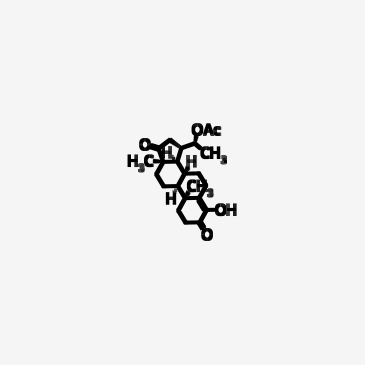 CC(=O)O[C@@H](C)[C@@H]1CC(=O)[C@@]2(C)CC[C@H]3[C@@H](CCC4=C(O)C(=O)CC[C@@]43C)[C@H]12